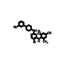 Cc1cc(C#N)cc(C)c1Nc1nc(NC2CCN(c3cccc(C#N)c3)CC2)ncc1Br